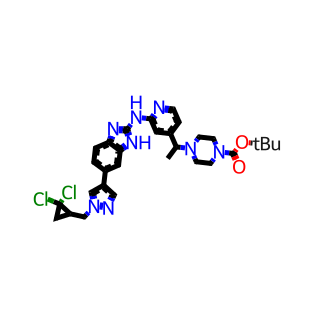 CC(c1ccnc(Nc2nc3ccc(-c4cnn(CC5CC5(Cl)Cl)c4)cc3[nH]2)c1)N1CCN(C(=O)OC(C)(C)C)CC1